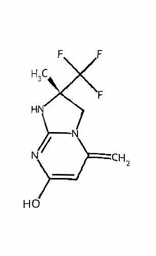 C=C1C=C(O)N=C2N[C@](C)(C(F)(F)F)CN12